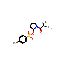 CC(C)C(=O)N1CCCC1OS(=O)(=O)c1ccc(Br)cc1